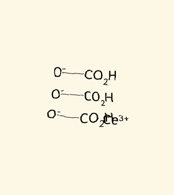 O=C([O-])O.O=C([O-])O.O=C([O-])O.[Ce+3]